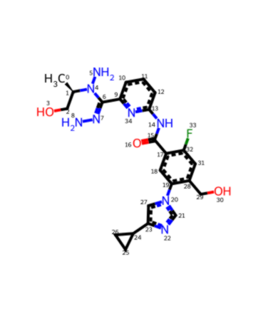 C[C@H](CO)N(N)/C(=N\N)c1cccc(NC(=O)c2cc(-n3cnc(C4CC4)c3)c(CO)cc2F)n1